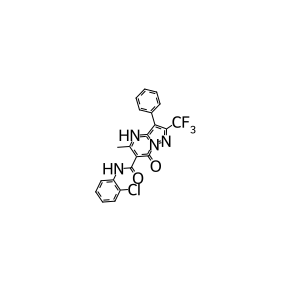 Cc1[nH]c2c(-c3ccccc3)c(C(F)(F)F)nn2c(=O)c1C(=O)Nc1ccccc1Cl